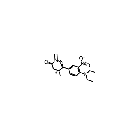 CCN(CC)c1ccc(C2=NNC(=O)C[C@@H]2C)cc1[N+](=O)[O-]